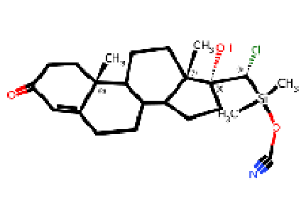 C[C@]12CCC(=O)C=C1CCC1C2CC[C@@]2(C)C1CC[C@]2(O)[C@H](Cl)[Si](C)(C)OC#N